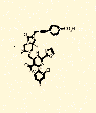 COC(=O)C1=C(CN2C[C@H]3CN(CC#Cc4ccc(C(=O)O)cc4)C(=O)N3C[C@@H]2C)NC(c2nccs2)=N[C@H]1c1ccc(F)cc1Cl